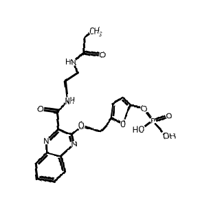 CCC(=O)NCCNC(=O)c1nc2ccccc2nc1OCc1ccc(OP(=O)(O)O)o1